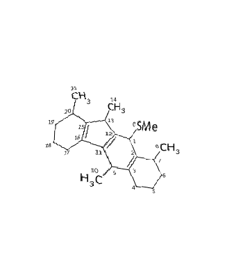 CSC1C2=C(CCCC2C)C(C)C2=C1C(C)C1=C2CCCC1C